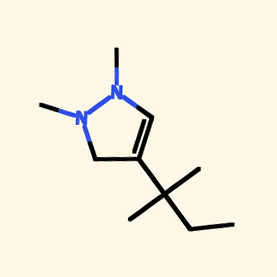 CCC(C)(C)C1=CN(C)N(C)C1